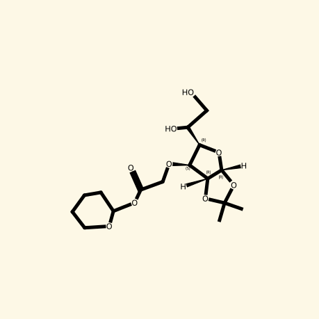 CC1(C)O[C@H]2O[C@H](C(O)CO)[C@H](OCC(=O)OC3CCCCO3)[C@H]2O1